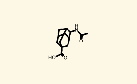 CC(=O)NC1C2CC3CC1CC(C(=O)O)(C3)C2